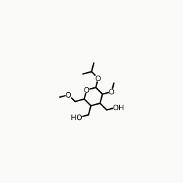 COCC1OC(OC(C)C)C(OC)C(CO)C1CO